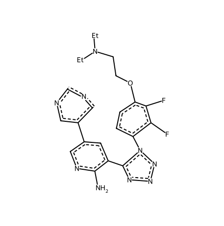 CCN(CC)CCOc1ccc(-n2nnnc2-c2cc(-c3cncnc3)cnc2N)c(F)c1F